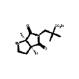 CCOC(=O)C(C)(C)CN1C(=O)[C@H]2CCN[C@H]2C1=O